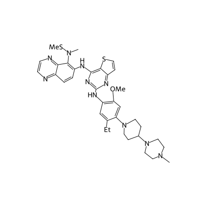 CCc1cc(Nc2nc(Nc3ccc4nccnc4c3N(C)SC)c3sccc3n2)c(OC)cc1N1CCC(N2CCN(C)CC2)CC1